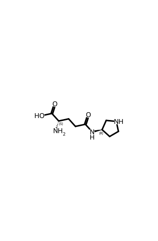 N[C@@H](CCC(=O)N[C@@H]1CCNC1)C(=O)O